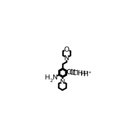 Nc1cc(CCN2CCOCC2)ccc1N1CCCCC1.[Cl-].[Cl-].[Cl-].[H+].[H+].[H+]